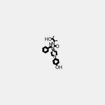 C[C@H](O)[C@@H](C)n1nc(-c2ccccc2)n(N2CCN(c3ccc(O)cc3)CC2)c1=O